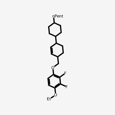 CCCCCC1CCC(C2C=CC(COc3ccc(OCC)c(F)c3F)CC2)CC1